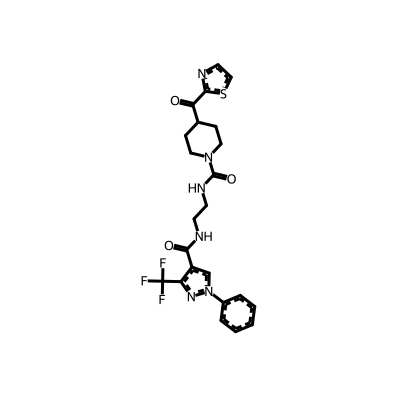 O=C(NCCNC(=O)N1CCC(C(=O)c2nccs2)CC1)c1cn(-c2ccccc2)nc1C(F)(F)F